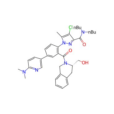 CCCCN(CCCC)C(=O)c1nn(-c2ccc(-c3ccc(N(C)C)nc3)cc2C(=O)N2Cc3ccccc3C[C@H]2CO)c(C)c1Cl